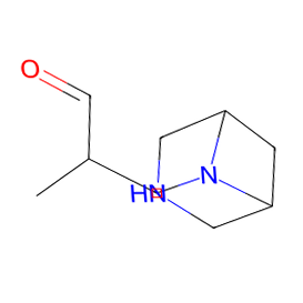 CC(C=O)CN1C2CNCC1C2